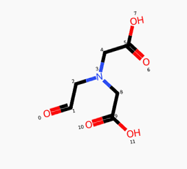 O=CCN(CC(=O)O)CC(=O)O